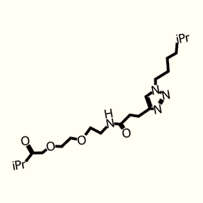 CC(C)CCCCn1cc(CCC(=O)NCCOCCOCC(=O)C(C)C)nn1